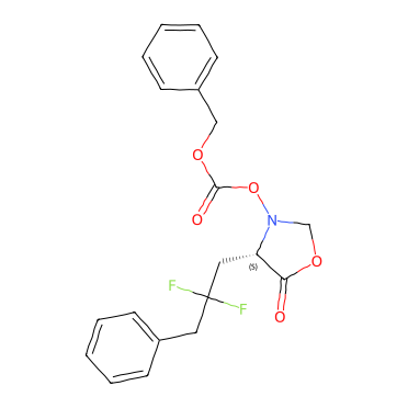 O=C(OCc1ccccc1)ON1COC(=O)[C@@H]1CC(F)(F)Cc1ccccc1